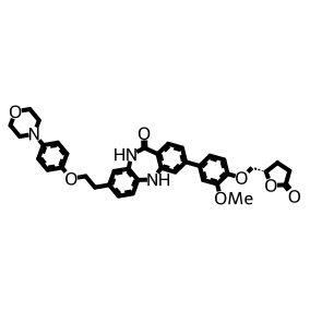 COc1cc(-c2ccc3c(c2)Nc2ccc(CCOc4ccc(N5CCOCC5)cc4)cc2NC3=O)ccc1OC[C@@H]1CCC(=O)O1